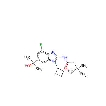 BC(B)(B)CC(=O)Nc1nc2c(F)cc(C(C)(C)O)cc2n1C1CCC1